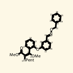 CCCCCC(C(=O)OC)=C(OC)c1ccccc1Oc1cccc(C=NOCc2ccccc2)c1